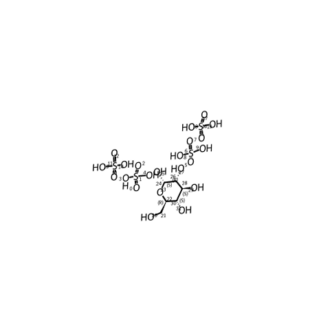 O=S(=O)(O)O.O=S(=O)(O)O.O=S(=O)(O)O.O=S(=O)(O)O.OC[C@H]1O[C@H](O)[C@H](O)[C@@H](O)[C@@H]1O